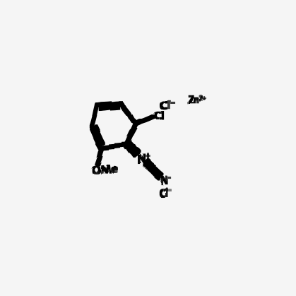 COC1=CC=CC(Cl)C1=[N+]=[N-].[Cl-].[Cl-].[Zn+2]